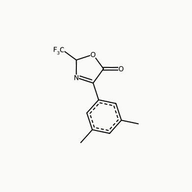 Cc1cc(C)cc(C2=NC(C(F)(F)F)OC2=O)c1